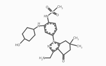 CC1(C)CC(=O)c2c(CN)nn(-c3ccc(NS(C)(=O)=O)c(NC4CCC(O)CC4)c3)c2C1